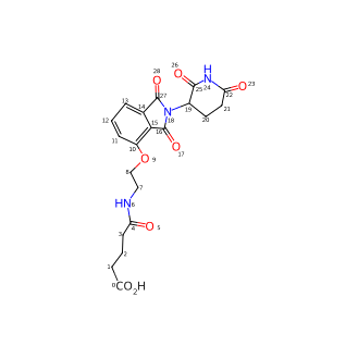 O=C(O)CCCC(=O)NCCOc1cccc2c1C(=O)N(C1CCC(=O)NC1=O)C2=O